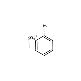 CC(=O)c1ccccc1.CS(=O)(=O)O